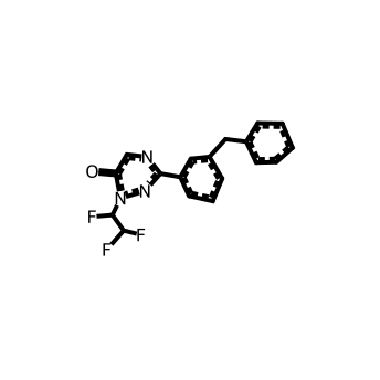 O=c1cnc(-c2cccc(Cc3ccccc3)c2)nn1C(F)C(F)F